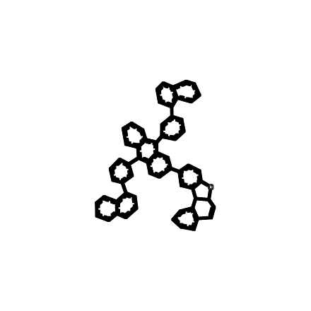 C1=CC2Oc3ccc(-c4ccc5c(-c6cccc(-c7cccc8ccccc78)c6)c6ccccc6c(-c6cccc(-c7cccc8ccccc78)c6)c5c4)cc3C2c2ccccc21